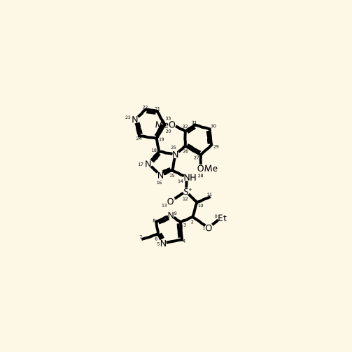 CCOC(c1cnc(C)cn1)C(C)[S+]([O-])Nc1nnc(-c2cccnc2)n1-c1c(OC)cccc1OC